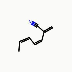 C=C(C#N)/C=C\C=C/C